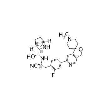 CN1CCC2(CC1)OCc1cnc(-c3ccc(C[C@@H](C#N)NC(O)[C@H]4N[C@@H]5CC[C@H]4C5)c(F)c3)cc12